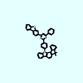 CC1(C)c2ccccc2-c2c1ccc1c3ccccc3n(-c3ccc(-c4nc(-c5ccccc5)cc(-c5ccc6c(c5)oc5ccccc56)n4)cc3)c21